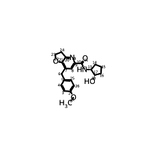 COc1ccc(Cc2cc(C(=O)N[C@H]3CCC[C@@H]3O)nc3c2OCC3)cc1